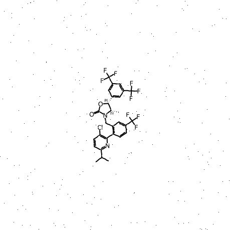 CC(C)c1ccc(Cl)c(-c2ccc(C(F)(F)F)cc2CN2C(=O)O[C@H](c3cc(C(F)(F)F)cc(C(F)(F)F)c3)[C@@H]2C)n1